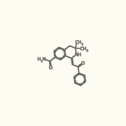 CC1(C)Cc2ccc(C(N)=O)cc2C(=CC(=O)c2ccccc2)N1